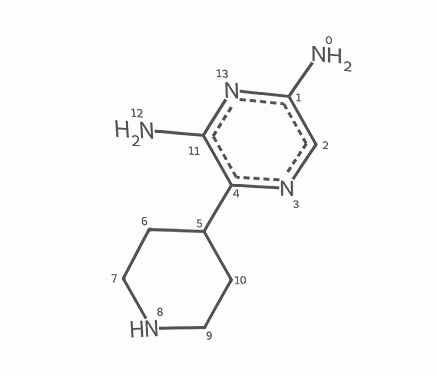 Nc1cnc(C2CCNCC2)c(N)n1